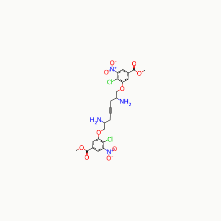 COC(=O)c1cc(OCC(N)CC#CCC(N)COc2cc(C(=O)OC)cc([N+](=O)[O-])c2Cl)c(Cl)c([N+](=O)[O-])c1